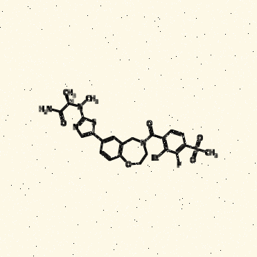 CCc1c(C(=O)N2CCOc3ccc(-c4cnc(N(C)[C@H](C)C(N)=O)s4)cc3C2)ccc(S(C)(=O)=O)c1F